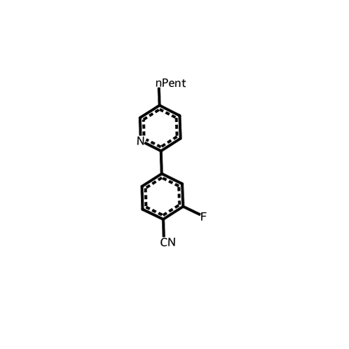 CCCCCc1ccc(-c2ccc(C#N)c(F)c2)nc1